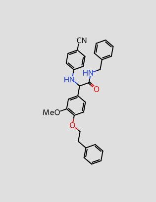 COc1cc(C(Nc2ccc(C#N)cc2)C(=O)NCc2ccccc2)ccc1OCCc1ccccc1